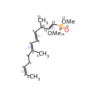 C/C=C\CC/C(C)=C/C=C/C(C)/C=C/P(=O)(OC)OC